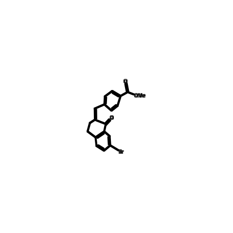 COC(=O)c1ccc(C=C2CCc3ccc(Br)cc3C2=O)cc1